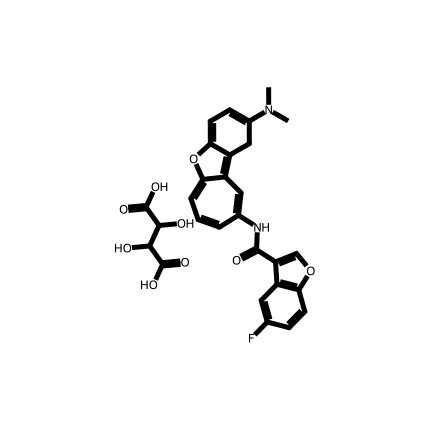 CN(C)C1=CC=c2oc3c(c2C1)C=C(NC(=O)c1coc2ccc(F)cc12)C=CC=3.O=C(O)C(O)C(O)C(=O)O